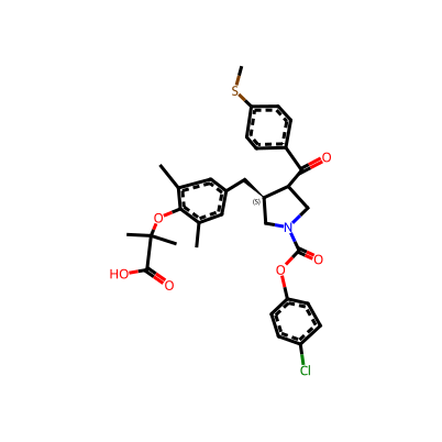 CSc1ccc(C(=O)C2CN(C(=O)Oc3ccc(Cl)cc3)C[C@H]2Cc2cc(C)c(OC(C)(C)C(=O)O)c(C)c2)cc1